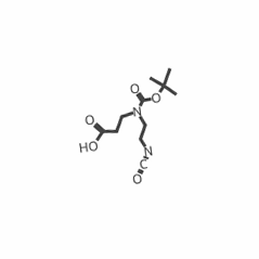 CC(C)(C)OC(=O)N(CCN=C=O)CCC(=O)O